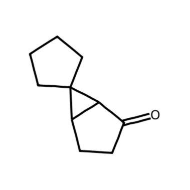 O=C1CCC2C1C21CCCC1